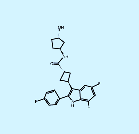 O=C(N[C@H]1CC[C@H](O)C1)[C@H]1C[C@H](c2c(-c3ccc(F)cc3)[nH]c3c(F)cc(F)cc32)C1